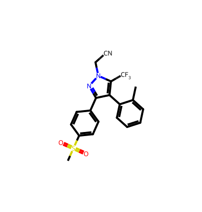 Cc1ccccc1-c1c(-c2ccc(S(C)(=O)=O)cc2)nn(CC#N)c1C(F)(F)F